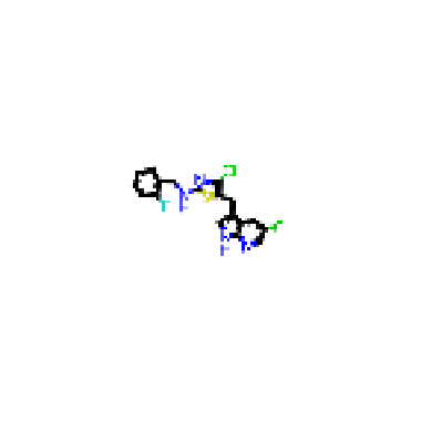 Fc1ccccc1CNc1nc(Cl)c(Cc2c[nH]c3ncc(Cl)cc23)s1